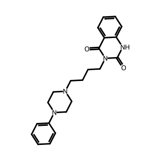 O=c1[nH]c2ccccc2c(=O)n1CCCCN1CCN(c2ccccc2)CC1